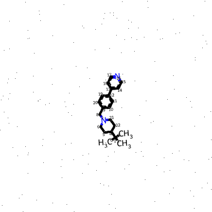 CC(C)(C)C1CCN(Cc2ccc(-c3ccncc3)cc2)CC1